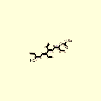 C=C\C(O)=C/C=C(C=C)/C(C=C)=C/C=C(\C=C)OC(=O)C(C)(C)C